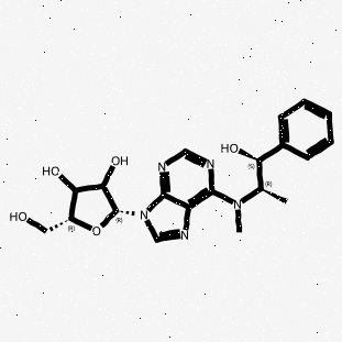 C[C@H]([C@@H](O)c1ccccc1)N(C)c1ncnc2c1ncn2[C@@H]1O[C@H](CO)C(O)C1O